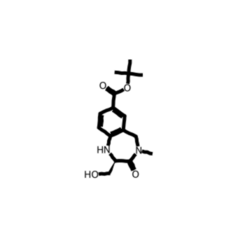 CN1Cc2cc(C(=O)OC(C)(C)C)ccc2N[C@H](CO)C1=O